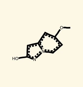 COc1ccn2nc(O)cc2c1